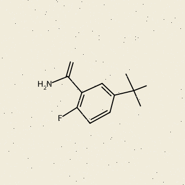 C=C(N)c1cc(C(C)(C)C)ccc1F